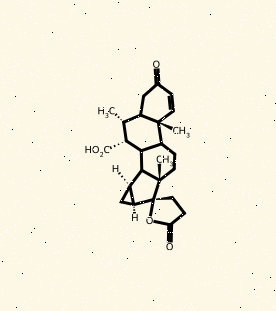 C[C@@H]1C2CC(=O)C=C[C@]2(C)C2CC[C@@]3(C)C(C2[C@@H]1C(=O)O)[C@@H]1C[C@@H]1[C@]31CCC(=O)O1